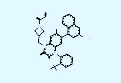 C=CC(=O)N1CC(Cn2c(=O)c(=O)n(-c3ccccc3C(F)(F)F)c3cc(-c4cc(O)cc5ccccc45)c(Cl)cc32)C1